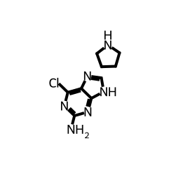 C1CCNC1.Nc1nc(Cl)c2nc[nH]c2n1